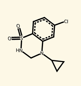 O=S1(=O)NCN(C2CC2)c2cc(Cl)ccc21